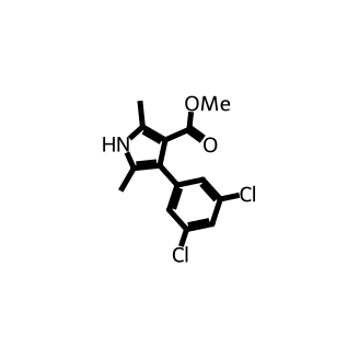 COC(=O)c1c(C)[nH]c(C)c1-c1cc(Cl)cc(Cl)c1